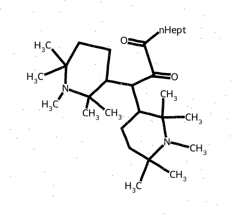 CCCCCCCC(=O)C(=O)C(C1CCC(C)(C)N(C)C1(C)C)C1CCC(C)(C)N(C)C1(C)C